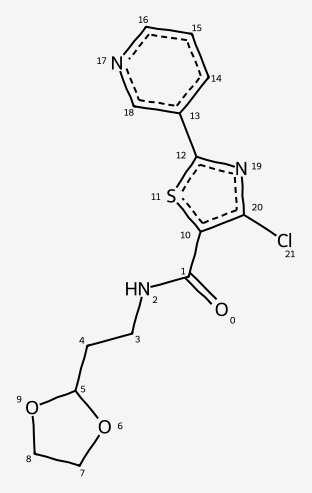 O=C(NCCC1OCCO1)c1sc(-c2cccnc2)nc1Cl